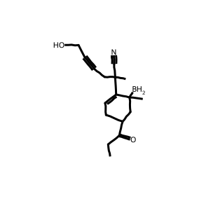 BC1(C)CC(C(=O)CC)CC=C1C(C)(C#N)CC#CCO